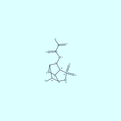 C=C(C)C(=O)OC1C2OC3C(OS(=O)(=O)C13)C2C